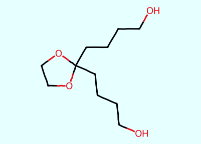 OCCCCC1(CCCCO)OCCO1